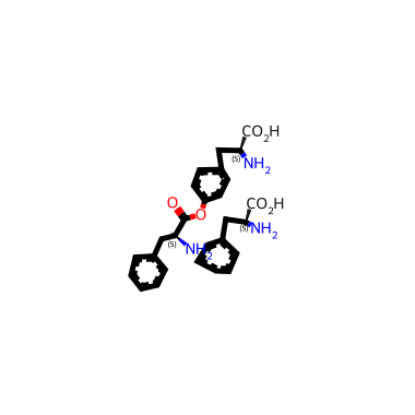 N[C@@H](Cc1ccc(OC(=O)[C@@H](N)Cc2ccccc2)cc1)C(=O)O.N[C@@H](Cc1ccccc1)C(=O)O